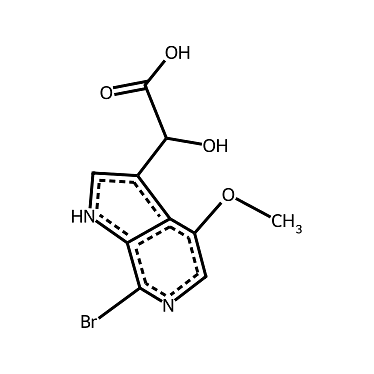 COc1cnc(Br)c2[nH]cc(C(O)C(=O)O)c12